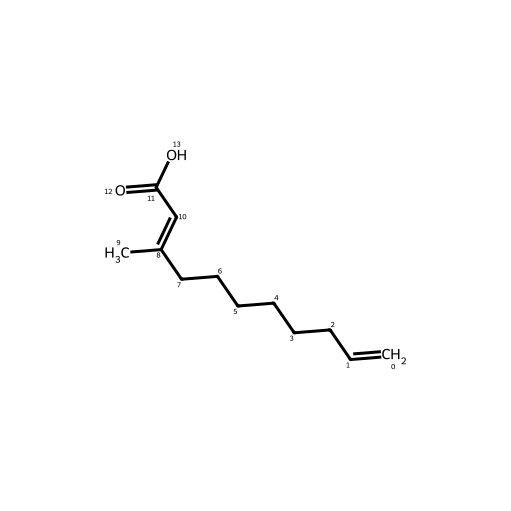 C=CCCCCCCC(C)=CC(=O)O